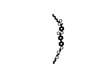 CCCCCCC(=O)OC(C)c1ccc(OC(=O)c2ccc(-c3ccc(OCCOCCOCCCC)cc3)cc2)cc1